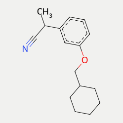 CC(C#N)c1cccc(OCC2CCCCC2)c1